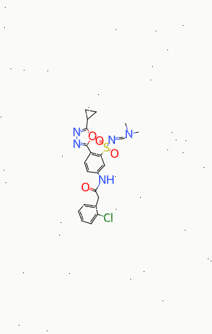 CN(C)C=NS(=O)(=O)c1cc(NC(=O)Cc2ccccc2Cl)ccc1-c1nnc(C2CC2)o1